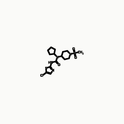 CS(=O)(=O)N1CCC(N(C(=O)Nc2ncc(Cl)s2)C2CCCC2)CC1